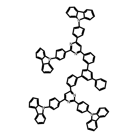 c1ccc(-c2cc(-c3cccc(-c4cc(-c5ccc(-n6c7ccccc7c7ccccc76)cc5)nc(-c5ccc(-n6c7ccccc7c7ccccc76)cc5)n4)c3)cc(-c3cccc(-c4cc(-c5ccc(-n6c7ccccc7c7ccccc76)cc5)nc(-c5ccc(-n6c7ccccc7c7ccccc76)cc5)n4)c3)c2)cc1